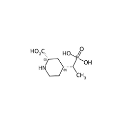 CC([C@@H]1CCN[C@H](C(=O)O)C1)P(=O)(O)O